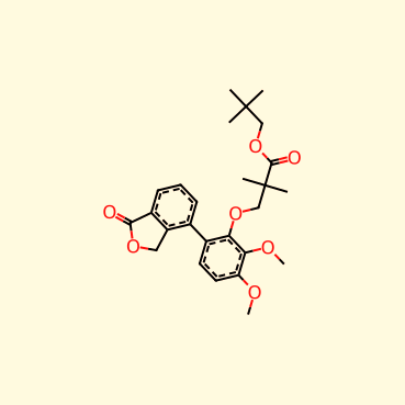 COc1ccc(-c2cccc3c2COC3=O)c(OCC(C)(C)C(=O)OCC(C)(C)C)c1OC